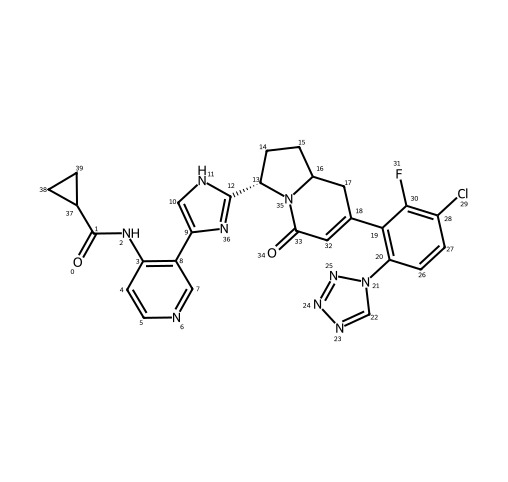 O=C(Nc1ccncc1-c1c[nH]c([C@@H]2CCC3CC(c4c(-n5cnnn5)ccc(Cl)c4F)=CC(=O)N32)n1)C1CC1